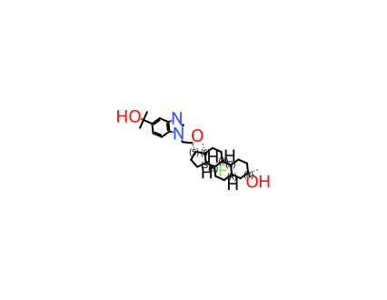 CC(C)(O)c1ccc2c(c1)ncn2CC(=O)[C@H]1CC[C@H]2[C@@H]3CC[C@@H]4C[C@](C)(O)CC[C@]4(F)[C@H]3CC[C@]12C